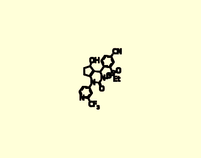 CCS(=O)(=O)c1cc(C#N)ccc1C1C2=C(CCC2O)N(c2ccnc(C(F)(F)F)c2)C(=O)N1C